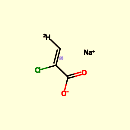 [2H]/C=C(\Cl)C(=O)[O-].[Na+]